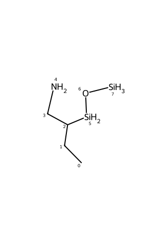 CCC(CN)[SiH2]O[SiH3]